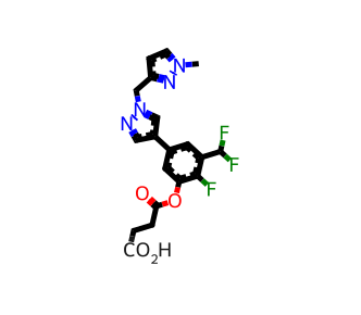 Cn1ccc(Cn2cc(-c3cc(OC(=O)CCC(=O)O)c(F)c(C(F)F)c3)cn2)n1